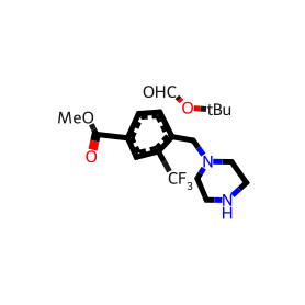 CC(C)(C)OC=O.COC(=O)c1ccc(CN2CCNCC2)c(C(F)(F)F)c1